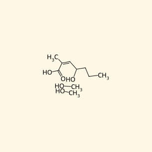 CCCC(O)C=C(C)C(=O)O.CO.CO